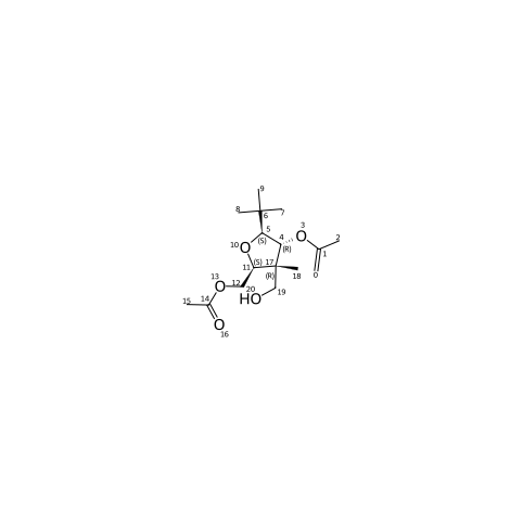 C=C(C)O[C@H]1[C@H](C(C)(C)C)O[C@H](COC(C)=O)[C@@]1(C)CO